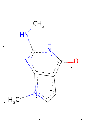 CNc1nc2c(ccn2C)c(=O)[nH]1